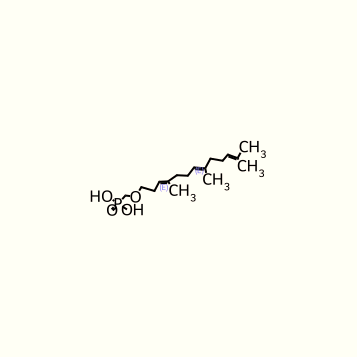 CC(C)=CCC/C(C)=C/CC/C(C)=C/CCOCP(=O)(O)O